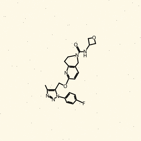 Cc1nnn(-c2ccc(F)cc2)c1COc1ccc2c(n1)CCN(C(=O)NC1COC1)C2